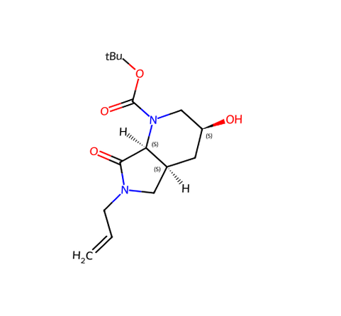 C=CCN1C[C@@H]2C[C@H](O)CN(C(=O)OC(C)(C)C)[C@@H]2C1=O